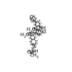 COc1cc2c(cc1Nc1ncc(Cl)c(Nc3ccc(N4CCOCC4)cc3OC)n1)CCN(CCNC(C)=O)CC2